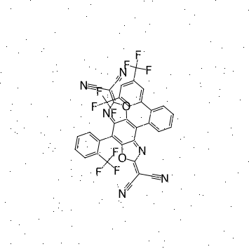 N#CC(C#N)=c1nc2c(-c3ccccc3C(F)(F)F)c3oc(=C(C#N)C#N)nc3c(-c3ccccc3-c3cc(C(F)(F)F)cc(C(F)(F)F)c3)c2o1